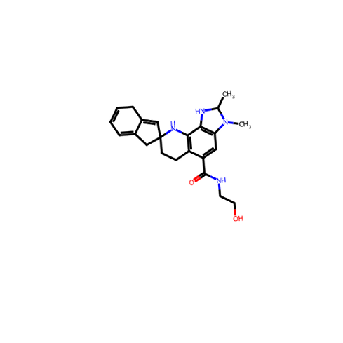 CC1Nc2c(cc(C(=O)NCCO)c3c2NC2(C=C4CC=CC=C4C2)CC3)N1C